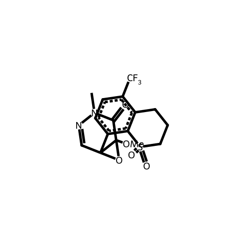 COC12OC1(c1ccc(C(F)(F)F)c3c1S(=O)(=O)CCC3)C=NN(C)C2=O